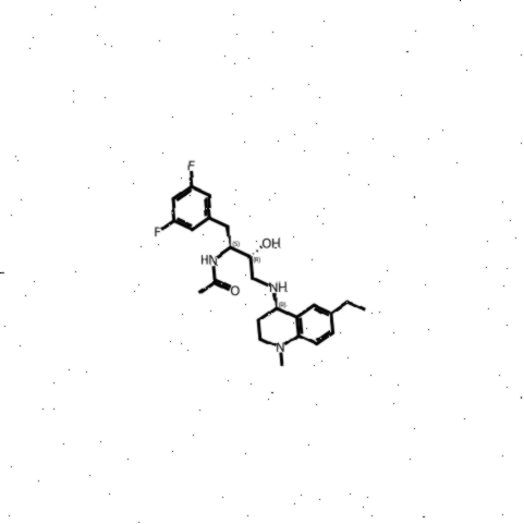 CCc1ccc2c(c1)[C@H](NC[C@@H](O)[C@H](Cc1cc(F)cc(F)c1)NC(C)=O)CCN2C